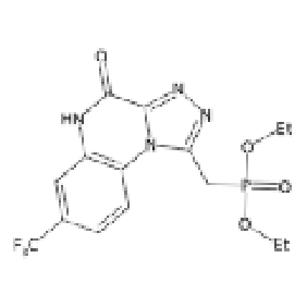 CCOP(=O)(Cc1nnc2c(=O)[nH]c3cc(C(F)(F)F)ccc3n12)OCC